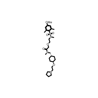 COc1cc(C)c(S(=O)(=O)N(C)CCOCC(=O)N(C)C[C@H]2CC[C@H](OCCN3CCCC3)CC2)c(C)c1